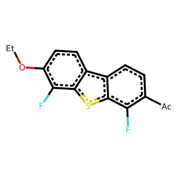 CCOc1ccc2c(sc3c(F)c(C(C)=O)ccc32)c1F